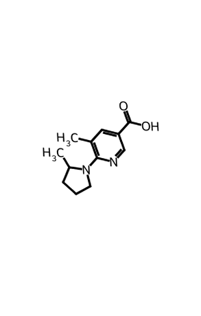 Cc1cc(C(=O)O)cnc1N1CCCC1C